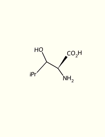 CC(C)C(O)[C@H](N)C(=O)O